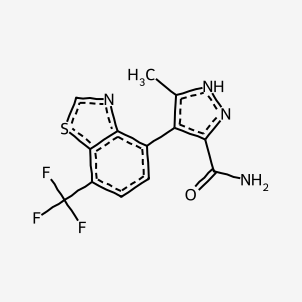 Cc1[nH]nc(C(N)=O)c1-c1ccc(C(F)(F)F)c2scnc12